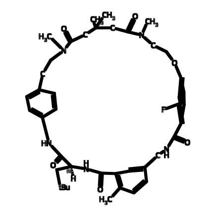 Cc1ccc2cc1C(=O)N[C@@H](CC(C)(C)C)C(=O)Nc1ccc(cc1)CCN(C)C(=O)CC(C)(C)CC(=O)N(C)CCOc1ccc(c(F)c1)C(=O)NC2